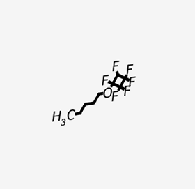 CCCCCOC1(F)C(F)C(F)(F)C1(F)F